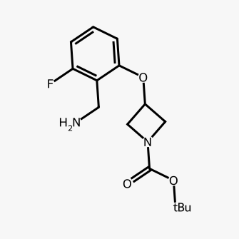 CC(C)(C)OC(=O)N1CC(Oc2cccc(F)c2CN)C1